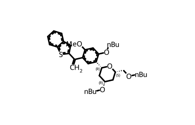 C=C(c1cc2ccccc2s1)c1cc([C@H]2C[C@@H](OCCCC)C[C@@H](COCCCC)O2)c(OCCCC)cc1OC